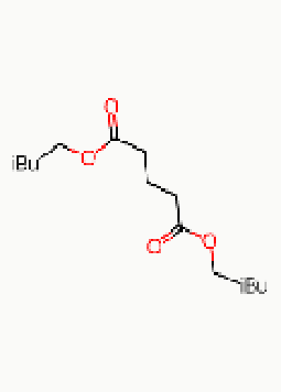 CCC(C)COC(=O)CCCC(=O)OCC(C)CC